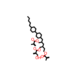 C=C(C)C(=O)OCCC(COC(=O)C(=C)CO)CC(COC(=O)C(=C)C)CC1CCC(C2CCC(CCCCC)CC2)CC1